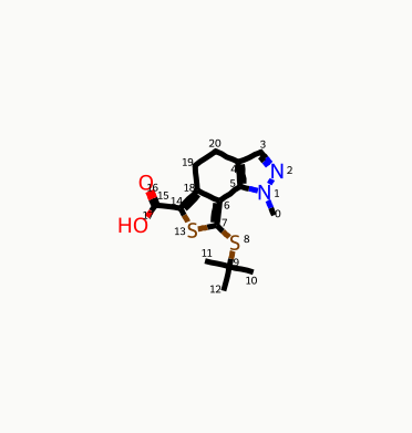 Cn1ncc2c1-c1c(SC(C)(C)C)sc(C(=O)O)c1CC2